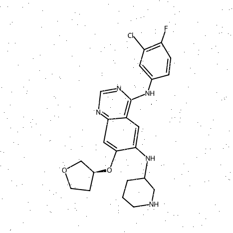 Fc1ccc(Nc2ncnc3cc(O[C@H]4CCOC4)c(NC4CCCNC4)cc23)cc1Cl